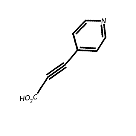 O=C(O)C#Cc1ccncc1